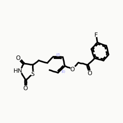 C/C=C(\C=C/CCC1SC(=O)NC1=O)OCC(=O)c1cccc(F)c1